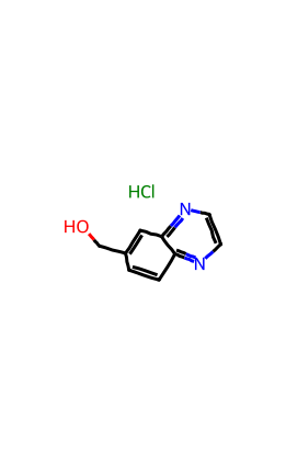 Cl.OCc1ccc2nccnc2c1